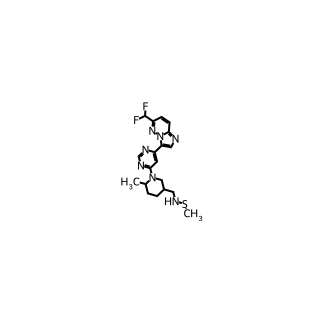 CSNCC1CCC(C)N(c2cc(-c3cnc4ccc(C(F)F)nn34)ncn2)C1